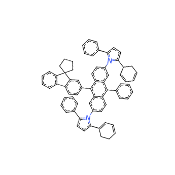 C1=CCCC(c2ccc(-c3ccccc3)n2-c2ccc3c(-c4ccccc4)c4cc(-n5c(-c6ccccc6)ccc5C5C=CC=CC5)ccc4c(-c4ccc5c(c4)C4(CCCC4)c4ccccc4-5)c3c2)=C1